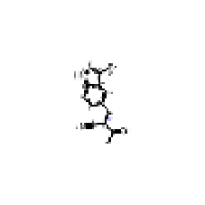 CC(=O)/C(C#N)=C/c1ccc2[nH]nc(Br)c2c1